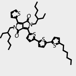 CCCCCCc1ccc(-c2ccc(-c3ccc(C4=C5C(=O)N(CC(CC)CCCC)C(c6cccs6)=C5C(=O)N4CC(CC)CCCC)s3)s2)s1